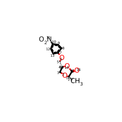 C[C@@H]1OC[C@H](COc2ccc([N+](=O)[O-])cc2)OC1=O